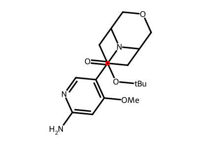 COc1cc(N)ncc1C1CC2COCC(C1)N2C(=O)OC(C)(C)C